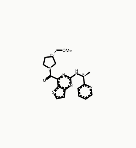 COC[C@H]1CCN(C(=O)c2nc(N[C@@H](C)c3ccccn3)nc3ccsc23)C1